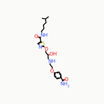 CC(C)CCCCNC(=O)c1cnc(OCC(O)CNCCOc2ccc(C(N)=O)cc2)s1